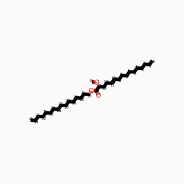 CCCCCCCCCCC=CCCC(OC)C(=O)OCCCCCCCCCCCCCCCC